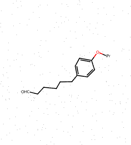 CC(C)Oc1ccc(CCCCC[C]=O)cc1